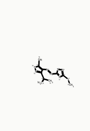 CSc1nsc(N=Nc2c(C(C)C)noc2O)n1